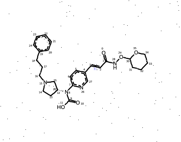 O=C(/C=C/c1ccc(N(C(=O)O)[C@@H]2CCN(CCCc3ccccc3)C2)nc1)NOC1CCCCO1